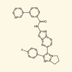 O=C(Nc1cn2nc(-c3c(-c4ccc(F)cc4)nc4n3CCC4)ccc2n1)c1cccc(-c2cccnc2)c1